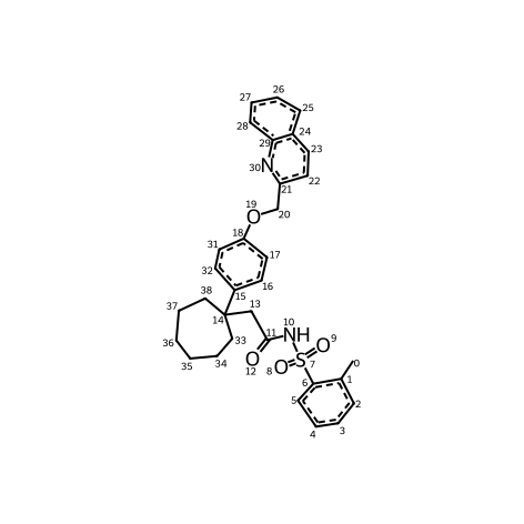 Cc1ccccc1S(=O)(=O)NC(=O)CC1(c2ccc(OCc3ccc4ccccc4n3)cc2)CCCCCC1